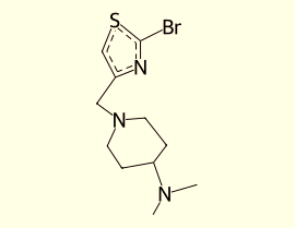 CN(C)C1CCN(Cc2csc(Br)n2)CC1